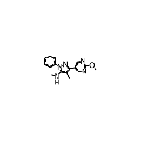 CNc1c(C)c(-c2cnc(OC)nc2)nn1-c1ccccc1